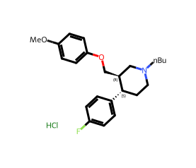 CCCCN1CC[C@H](c2ccc(F)cc2)[C@@H](COc2ccc(OC)cc2)C1.Cl